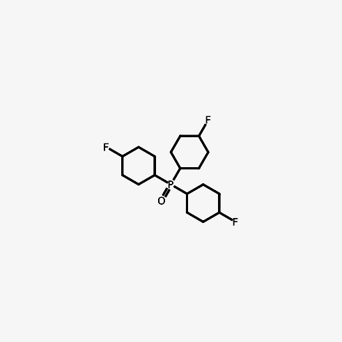 O=P(C1CCC(F)CC1)(C1CCC(F)CC1)C1CCC(F)CC1